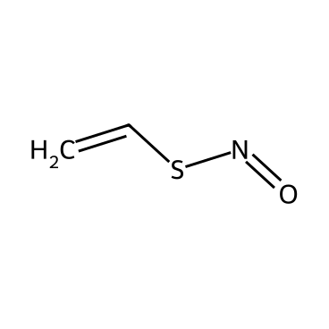 C=CSN=O